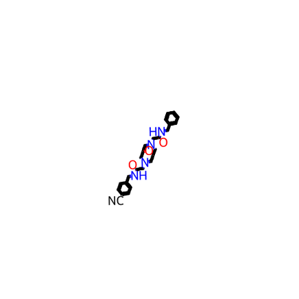 N#Cc1ccc(CNC(=O)CN2CC3CN(CC(=O)NCc4ccccc4)CC(C2)O3)cc1